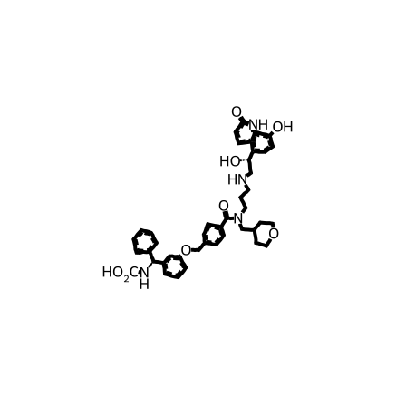 O=C(O)N[C@@H](c1ccccc1)c1cccc(OCc2ccc(C(=O)N(CCCNC[C@H](O)c3ccc(O)c4[nH]c(=O)ccc34)CC3CCOCC3)cc2)c1